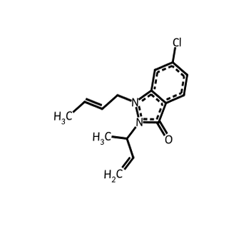 C=CC(C)n1c(=O)c2ccc(Cl)cc2n1C/C=C/C